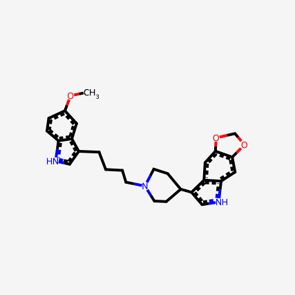 COc1ccc2[nH]cc(CCCCN3CCC(c4c[nH]c5cc6c(cc45)OCO6)CC3)c2c1